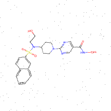 O=C(NO)c1cnc(N2CCC(N(CCO)S(=O)(=O)c3ccc4ccccc4c3)CC2)nc1